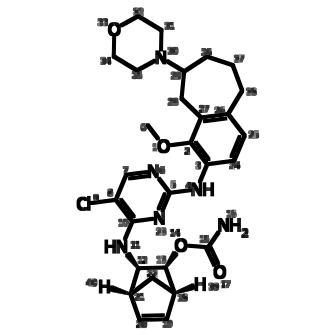 COc1c(Nc2ncc(Cl)c(N[C@H]3[C@@H](OC(N)=O)[C@@H]4C=C[C@H]3C4)n2)ccc2c1CC(N1CCOCC1)CCC2